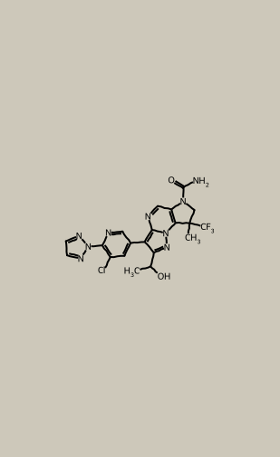 CC(O)c1nn2c3c(cnc2c1-c1cnc(-n2nccn2)c(Cl)c1)N(C(N)=O)CC3(C)C(F)(F)F